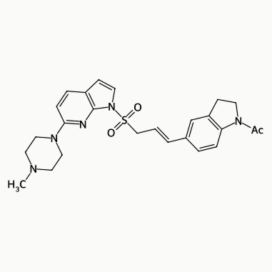 CC(=O)N1CCc2cc(C=CCS(=O)(=O)n3ccc4ccc(N5CCN(C)CC5)nc43)ccc21